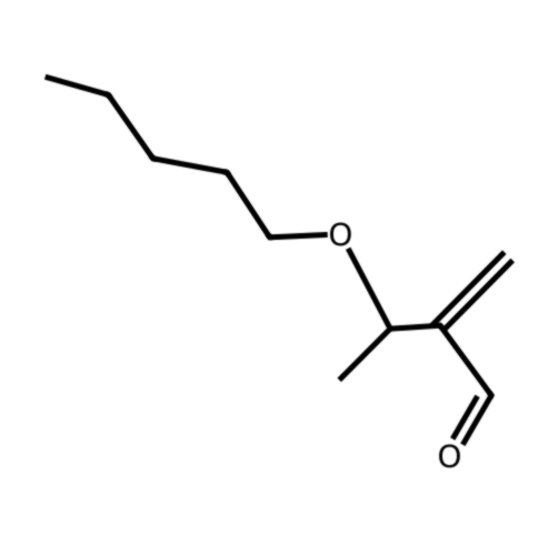 C=C(C=O)C(C)OCCCCC